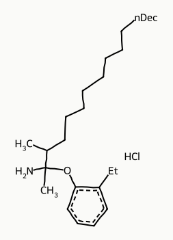 CCCCCCCCCCCCCCCCCCC(C)C(C)(N)Oc1ccccc1CC.Cl